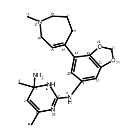 CC1=CC(C)(N)NC(Nc2cc3c(c(C4=CCN(C)CCC4)c2)OCO3)=N1